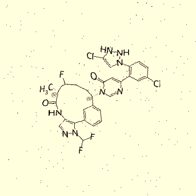 C[C@H]1C(=O)Nc2cnn(C(F)F)c2-c2cccc(c2)[C@@H](n2cnc(-c3cc(Cl)ccc3N3C=C(Cl)NN3)cc2=O)CCC1F